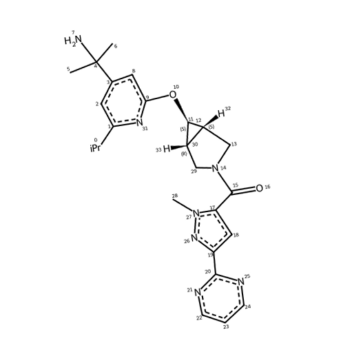 CC(C)c1cc(C(C)(C)N)cc(O[C@H]2[C@@H]3CN(C(=O)c4cc(-c5ncccn5)nn4C)C[C@@H]32)n1